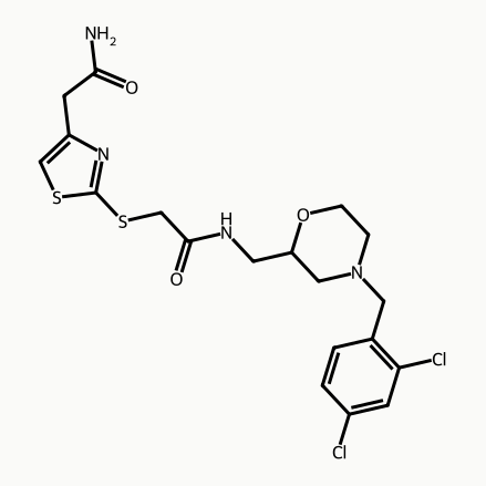 NC(=O)Cc1csc(SCC(=O)NCC2CN(Cc3ccc(Cl)cc3Cl)CCO2)n1